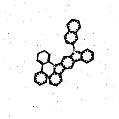 C1=C(c2ccccc2)C(n2c3ccccc3c3cc4c5ccccc5n(-c5ccc6ccccc6c5)c4cc32)=CCC1